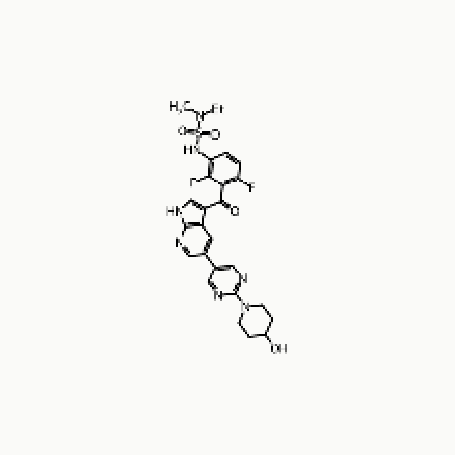 CCN(C)S(=O)(=O)Nc1ccc(F)c(C(=O)c2c[nH]c3ncc(-c4cnc(N5CCC(O)CC5)nc4)cc23)c1F